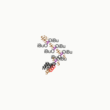 CC(C)COP(=S)([S-])OCC(C)C.CC(C)COP(=S)([S-])OCC(C)C.CC(C)COP(=S)([S-])OCC(C)C.CC(C)COP(=S)([S-])OCC(C)C.[O]=[Mo+4].[O]=[Mo+4].[O]=[Mo+4].[S-2].[S-2].[S-2].[S-2]